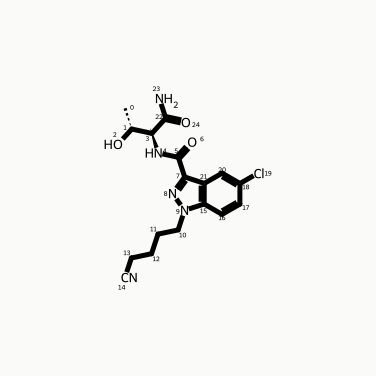 C[C@@H](O)[C@H](NC(=O)c1nn(CCCCC#N)c2ccc(Cl)cc12)C(N)=O